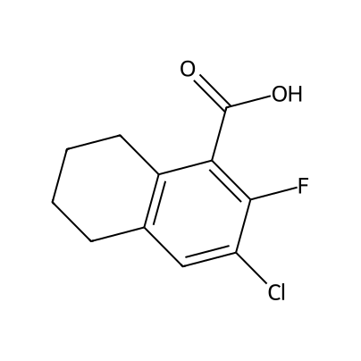 O=C(O)c1c(F)c(Cl)cc2c1CCCC2